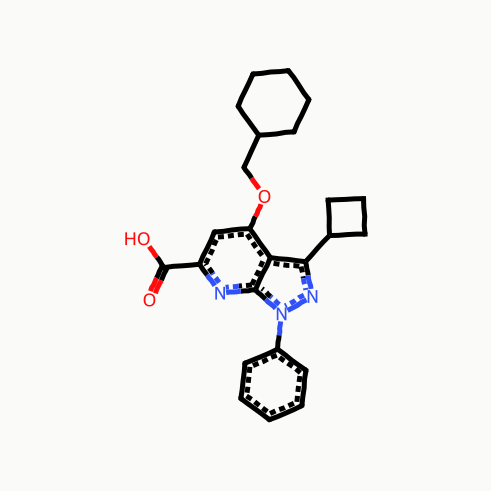 O=C(O)c1cc(OCC2CCCCC2)c2c(C3CCC3)nn(-c3ccccc3)c2n1